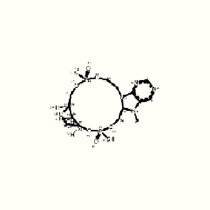 CN1c2cncnc2N2CCOP(=O)(S)OC[C@H]3OC[C@H](OP(=O)(S)OCC12)[C@@H]3O